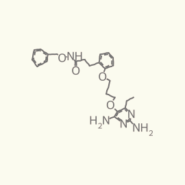 CCc1nc(N)nc(N)c1OCCCOc1ccccc1CCC(=O)NOCc1ccccc1